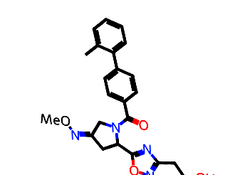 CON=C1CC(c2nc(CCO)no2)N(C(=O)c2ccc(-c3ccccc3C)cc2)C1